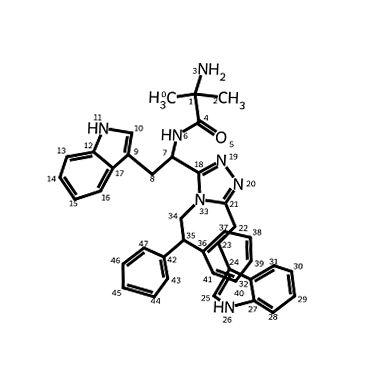 CC(C)(N)C(=O)NC(Cc1c[nH]c2ccccc12)c1nnc(CCc2c[nH]c3ccccc23)n1CC(c1ccccc1)c1ccccc1